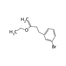 C=C(CCc1cccc(Br)c1)OCC